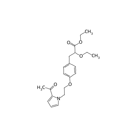 CCOC(=O)C(Cc1ccc(OCCn2cccc2C(C)=O)cc1)OCC